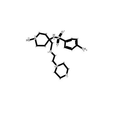 Cc1ccc(S(=O)(=O)NC2(COCCN3CCOCC3)CCN(S)CC2)cc1